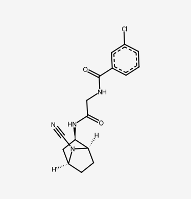 N#CN1[C@H]2CC[C@@H]1[C@H](NC(=O)CNC(=O)c1cccc(Cl)c1)C2